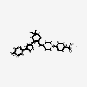 CC1(C)CCC(CN2CCN(c3ccc(C(N)=O)cc3)CC2)=C(c2cc(-c3ccc(F)cn3)cs2)C1